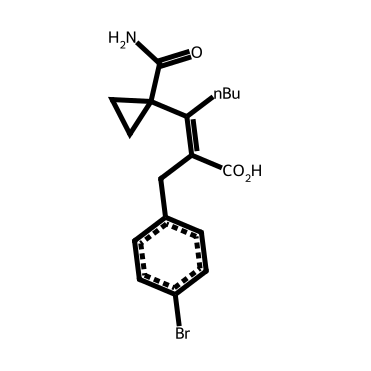 CCCC/C(=C(/Cc1ccc(Br)cc1)C(=O)O)C1(C(N)=O)CC1